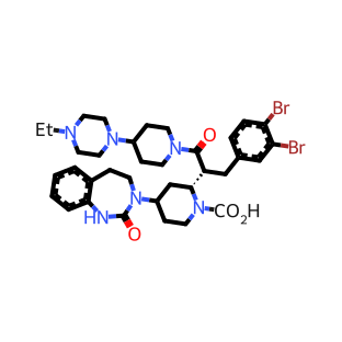 CCN1CCN(C2CCN(C(=O)C(Cc3ccc(Br)c(Br)c3)[C@H]3CC(N4CCc5ccccc5NC4=O)CCN3C(=O)O)CC2)CC1